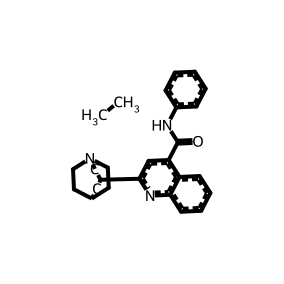 CC.O=C(Nc1ccccc1)c1cc(C2CC3CCN(CC3)C2)nc2ccccc12